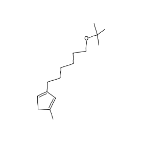 CC1=CC(CCCCCCOC(C)(C)C)=CC1